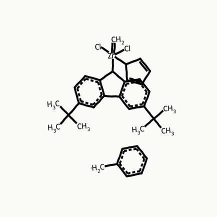 [CH2]=[Zr]([Cl])([Cl])([CH]1C=CC=C1)[CH]1c2ccc(C(C)(C)C)cc2-c2cc(C(C)(C)C)ccc21.[CH2]c1ccccc1